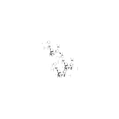 COc1ccc(C#N)cc1Oc1ccc(NC(=O)Cc2ccccc2Cl)cc1S(N)(=O)=O.COc1ccccc1Oc1ccc(NC(=O)Cc2ccccc2Cl)cc1S(N)(=O)=O.N#Cc1cc(C#N)cc(Oc2ccc(NC(=O)Cc3ccccc3Cl)cc2S(N)(=O)=O)c1